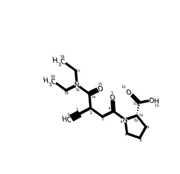 C#CC(CC(=O)N1CCC[C@H]1C(=O)O)C(=O)N(CC)CC